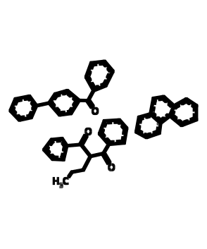 CCCC(C(=O)c1ccccc1)C(=O)c1ccccc1.O=C(c1ccccc1)c1ccc(-c2ccccc2)cc1.c1ccc2c(c1)ccc1ccccc12